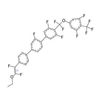 CCO/C(F)=C(\F)c1ccc(-c2ccc(-c3cc(F)c(C(F)(F)Oc4cc(F)c(C(F)(F)F)c(F)c4)c(F)c3)c(F)c2)cc1